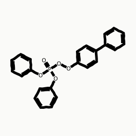 O=P(OOc1ccc(-c2ccccc2)cc1)(Oc1ccccc1)Oc1ccccc1